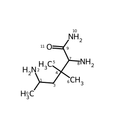 CC(N)CC(C)(C)C(N)C(N)=O